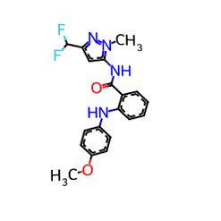 COc1ccc(Nc2ccccc2C(=O)Nc2cc(C(F)F)nn2C)cc1